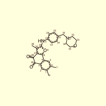 Cc1cc2c(cc1C)-c1oc(Nc3ccc(CN4CCOCC4)cc3)c(C)c1C(=O)C2=O